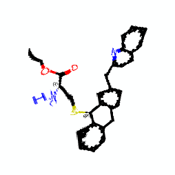 CCOC(=O)[C@@H](N)CS[C@@H]1c2ccccc2Cc2ccc(Cc3ccc4ccccc4n3)cc21